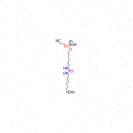 CCCCCCCCCCCCCCCCNC(=O)NCCCCCCOP(OCCC#N)N(C(C)C)C(C)C